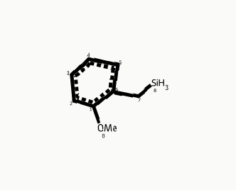 COc1ccccc1C[SiH3]